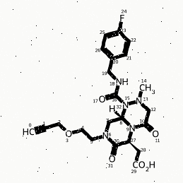 C#CCOCCN1C[C@H]2N(C(=O)CN(C)N2C(=O)NCc2ccc(F)cc2)[C@@H](CC(=O)O)C1=O